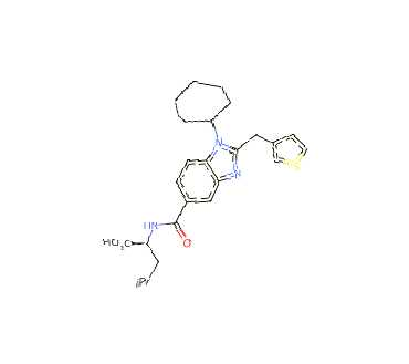 CC(C)C[C@H](NC(=O)c1ccc2c(c1)nc(Cc1ccsc1)n2C1CCCCC1)C(=O)O